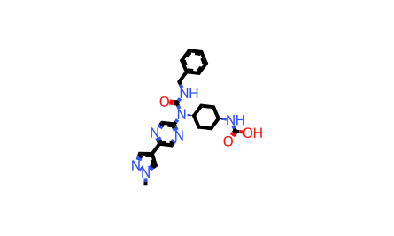 Cn1cc(-c2cnc(N(C(=O)NCc3ccccc3)[C@H]3CC[C@H](NC(=O)O)CC3)cn2)cn1